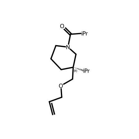 C=CCOC[C@@]1(C(C)C)CCCN(C(=O)C(C)C)C1